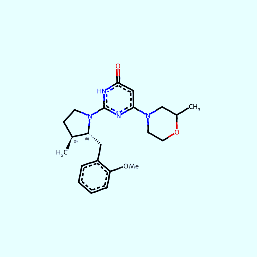 COc1ccccc1C[C@@H]1[C@@H](C)CCN1c1nc(N2CCOC(C)C2)cc(=O)[nH]1